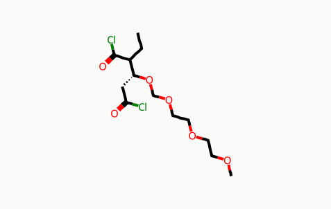 CCC(C(=O)Cl)[C@@H](CC(=O)Cl)OCOCCOCCOC